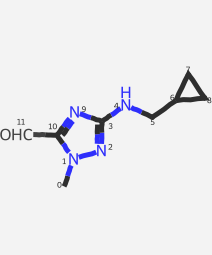 Cn1nc(NCC2CC2)nc1C=O